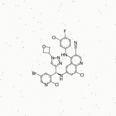 N#Cc1cnc2c(Cl)cc(N[C@H](c3cn(C4COC4)nn3)c3cc(Br)cnc3Cl)cc2c1Nc1ccc(F)c(Cl)c1